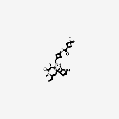 CCC1=CC(C)([C@]2(C)C=CN[C@@H]2C)N(NCC2CC(OC(=O)C3CC(F)(F)C3)C2)[C@H](C)C(=O)N1C